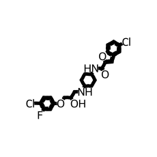 O=C(NC1CCC(NCC(O)COc2ccc(Cl)c(F)c2)CC1)c1cc2cc(Cl)ccc2o1